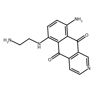 NCCNc1ccc(N)c2c1C(=O)c1ccncc1C2=O